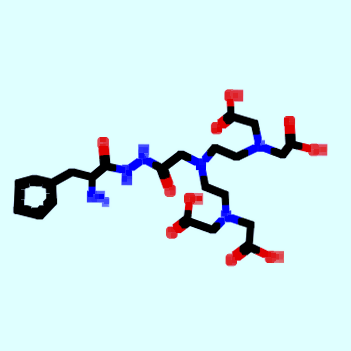 NC(Cc1ccccc1)C(=O)NNC(=O)CN(CCN(CC(=O)O)CC(=O)O)CCN(CC(=O)O)CC(=O)O